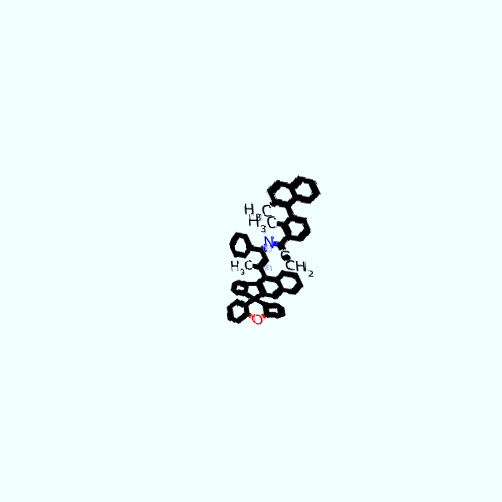 C=C=C(/N=C(\C=C(/C)c1c2c(cc3ccccc13)C1(c3ccccc3Oc3ccccc31)c1ccccc1-2)c1ccccc1)c1cccc(-c2c(C)ccc3ccccc23)c1C